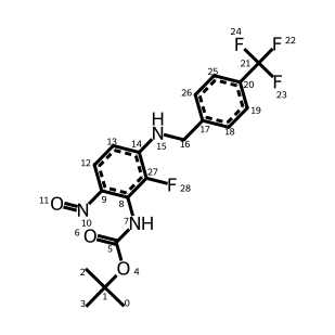 CC(C)(C)OC(=O)Nc1c(N=O)ccc(NCc2ccc(C(F)(F)F)cc2)c1F